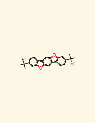 CCC(C)(C)c1ccc2c(c1)oc1cc3c(cc12)oc1cc(C(C)(C)CC)ccc13